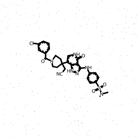 CN(C)S(=O)(=O)c1ccc(Nc2n[nH]c3c(C4(CC#N)CCN(C(=O)c5cccc(Cl)c5)CC4)c[nH]c(=O)c23)cc1